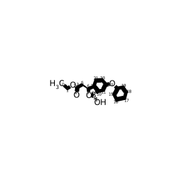 CCOC(=O)C[C@@H]1OB(O)c2cc(Oc3ccccc3)ccc21